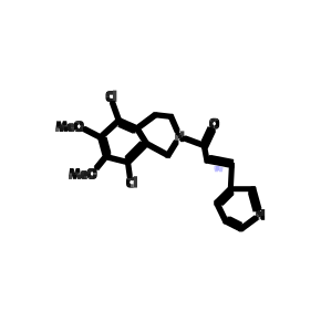 COc1c(Cl)c2c(c(Cl)c1OC)CN(C(=O)/C=C/c1cccnc1)CC2